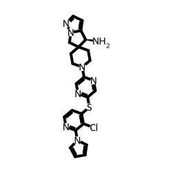 N[C@@H]1c2ccnn2CC12CCN(c1cnc(Sc3ccnc(-n4cccc4)c3Cl)cn1)CC2